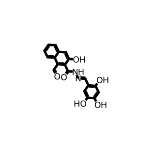 O=Cc1c(C(=O)NN=Cc2cc(O)c(O)cc2O)c(O)cc2ccccc12